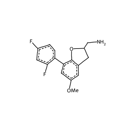 COc1cc2c(c(-c3ccc(F)cc3F)c1)OC(CN)C2